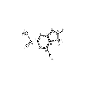 Cc1cc2cc(C(=O)O)cc(F)c2[nH]1